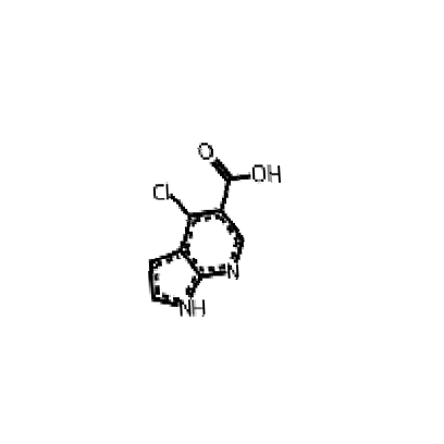 O=C(O)c1cnc2[nH]ccc2c1Cl